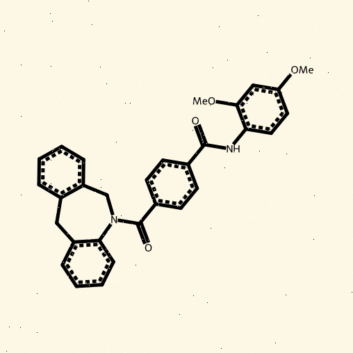 COc1ccc(NC(=O)c2ccc(C(=O)N3Cc4ccccc4Cc4ccccc43)cc2)c(OC)c1